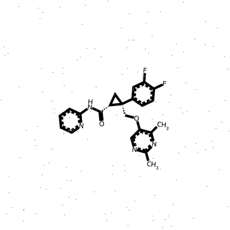 Cc1ncc(OC[C@@]2(c3ccc(F)c(F)c3)C[C@H]2C(=O)Nc2ccccn2)c(C)n1